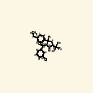 CCc1ccc(C2(F)CC(C(F)(F)F)NN2C(=O)c2cccc(Cl)c2)cc1